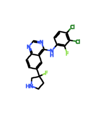 Fc1c(Nc2ncnc3ccc(C4(F)CCNC4)cc23)ccc(Cl)c1Cl